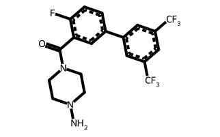 NN1CCN(C(=O)c2cc(-c3cc(C(F)(F)F)cc(C(F)(F)F)c3)ccc2F)CC1